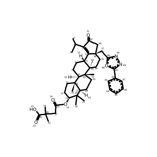 CC(C)C1=C2[C@H]3CC[C@@H]4[C@@]5(C)CC[C@H](OC(=O)CC(C)(C)C(=O)O)C(C)(C)[C@@H]5CC[C@@]4(C)[C@]3(C)CC[C@@]2(Cc2nnc(-c3ccccc3)o2)CC1=O